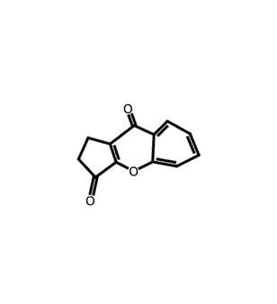 O=C1CCc2c1oc1ccccc1c2=O